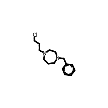 ClCCCN1CCCN(Cc2ccccc2)CC1